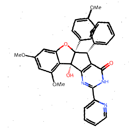 COc1ccc([C@@]23Oc4cc(OC)cc(OC)c4[C@]2(O)c2nc(-c4ccccn4)[nH]c(=O)c2[C@H]3c2ccccc2)cc1